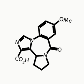 COc1ccc2c(c1)C(=O)N1CCCC1c1c(C(=O)O)ncn1-2